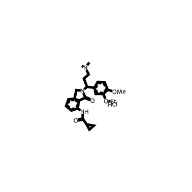 CCOc1cc(C(CCN(C)C)N2Cc3cccc(NC(=O)C4CC4)c3C2=O)ccc1OC.Cl